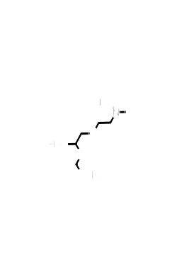 CCN(C)CCOCC(C)OCC=O